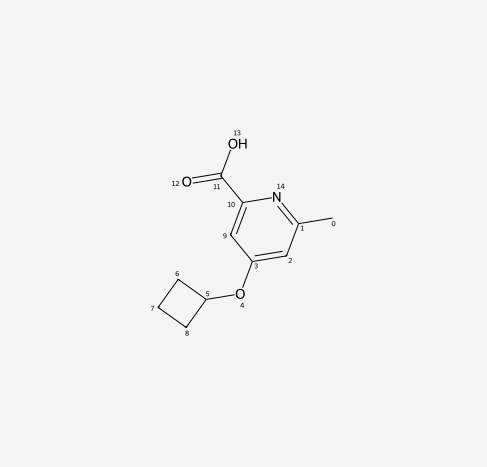 Cc1cc(OC2CCC2)cc(C(=O)O)n1